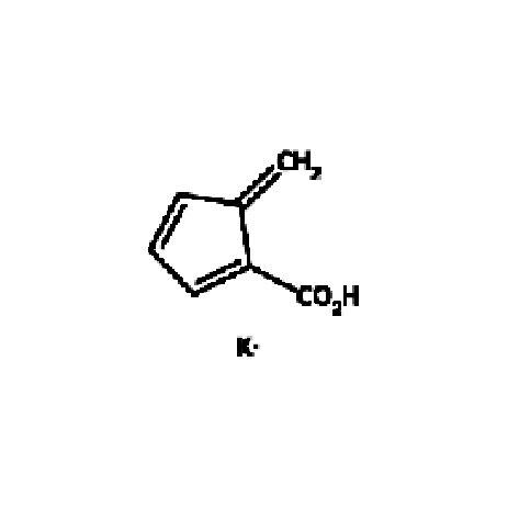 C=C1C=CC=C1C(=O)O.[K]